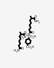 CC(CCCCCC(N)=O)C(N)=O.CC(CCCCCC(N)=O)C(N)=O.O=C(O)C1CCC(C(=O)O)CC1